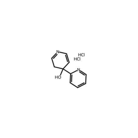 Cl.Cl.OC1(c2ccccn2)C=CN=CC1